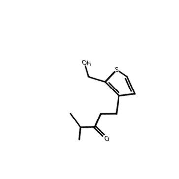 CC(C)C(=O)CCc1ccsc1CO